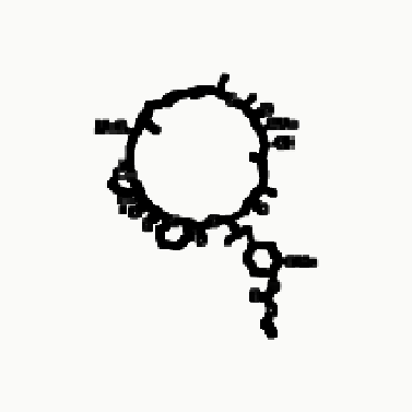 C=COC(=O)O[C@@H]1CC[C@@H](C[C@@H](C)[C@@H]2CC(=O)[C@H](C)/C=C(\C)[C@@H](O)[C@@H](OC)C(=O)[C@H](C)C[C@H](C)/C=C/C=C/C=C(\C)[C@@H](OC)C[C@@H]3CC[C@@H](C)[C@@](O)(O3)C(=O)C(=O)N3CCCC[C@H]3C(=O)O2)C[C@H]1OC